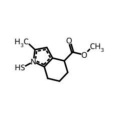 COC(=O)C1CCCc2c1cc(C)n2S